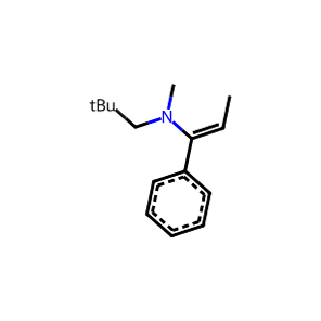 C/C=C(/c1ccccc1)N(C)CC(C)(C)C